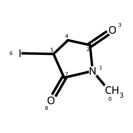 CN1C(=O)CC(I)C1=O